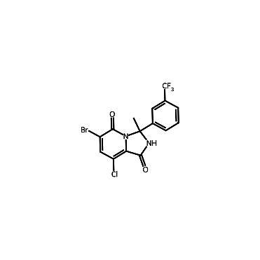 CC1(c2cccc(C(F)(F)F)c2)NC(=O)c2c(Cl)cc(Br)c(=O)n21